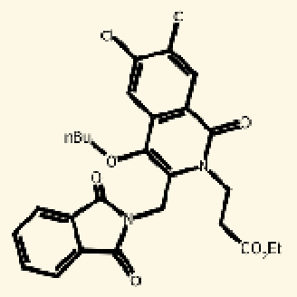 CCCCOc1c(CN2C(=O)c3ccccc3C2=O)n(CCC(=O)OCC)c(=O)c2cc(Cl)c(Cl)cc12